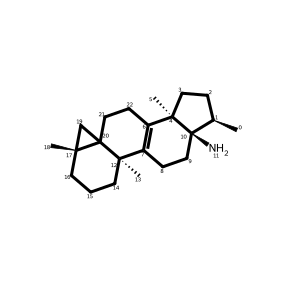 C[C@@H]1CC[C@]2(C)C3=C(CC[C@@]12N)[C@@]1(C)CCC[C@]2(C)CC21CC3